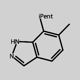 CCCC(C)c1c(C)ccc2cn[nH]c12